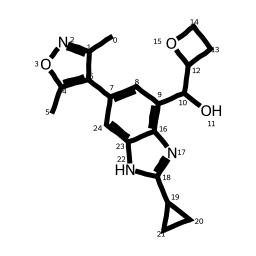 Cc1noc(C)c1-c1cc(C(O)C2CCO2)c2nc(C3CC3)[nH]c2c1